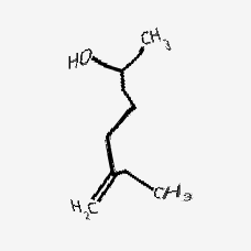 C=C(C)CCC(C)O